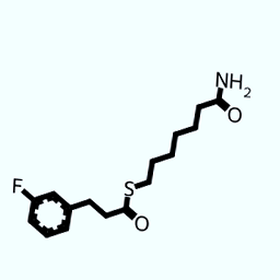 NC(=O)CCCCCCSC(=O)CCc1cccc(F)c1